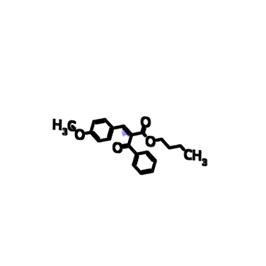 CCCCOC(=O)/C(=C/c1ccc(OC)cc1)C(=O)c1ccccc1